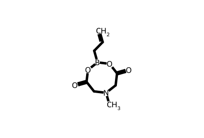 C=CCB1OC(=O)CN(C)CC(=O)O1